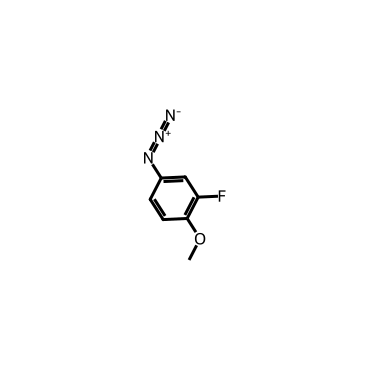 COc1ccc(N=[N+]=[N-])cc1F